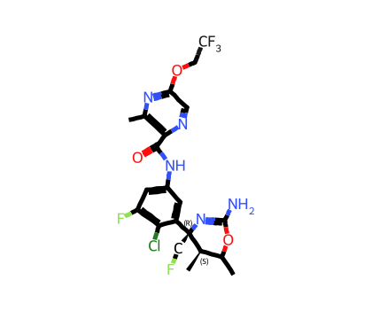 Cc1nc(OCC(F)(F)F)cnc1C(=O)Nc1cc(F)c(Cl)c([C@]2(CF)N=C(N)OC(C)[C@H]2C)c1